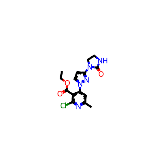 CCOC(=O)c1c(-n2ccc(N3CCNC3=O)n2)cc(C)nc1Cl